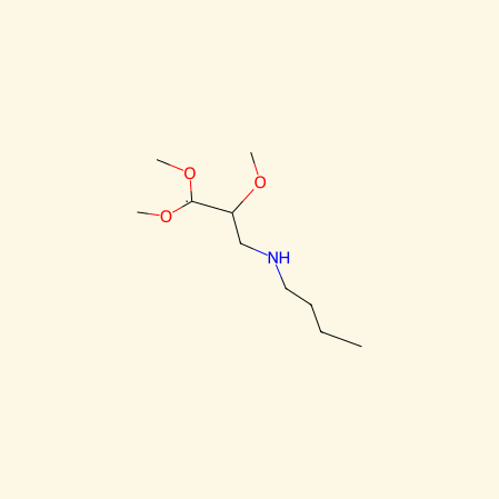 CCCCNCC(OC)[C](OC)OC